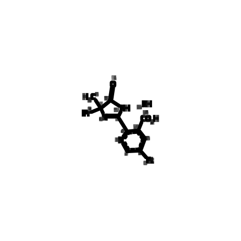 CCc1cnc(C2=NC(C)(C(C)C)C(=O)N2)c(C(=O)O)c1.[KH]